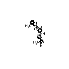 Cc1ccccc1CNC(=O)N[C@H]1CC[C@H](Nc2nccc(-c3cn[nH]c3N)n2)CC1